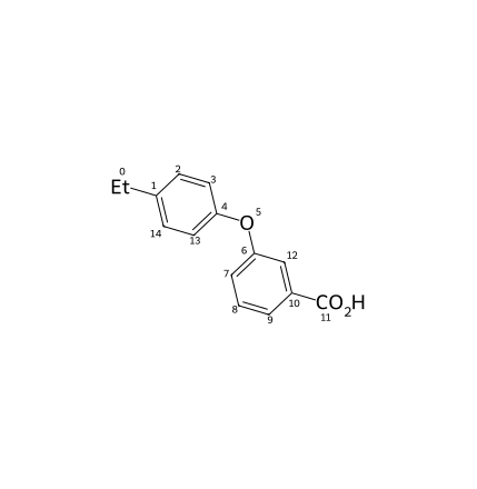 CCc1ccc(Oc2cccc(C(=O)O)c2)cc1